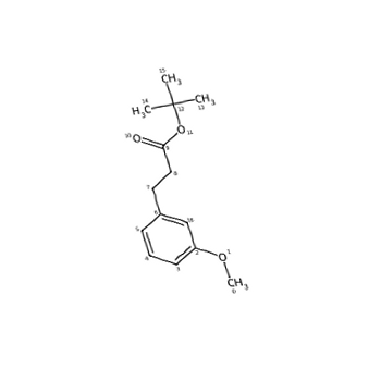 COc1cccc(CCC(=O)OC(C)(C)C)c1